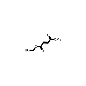 COC(=O)/C=C/C(=O)OCC(C)(C)C